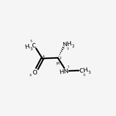 CN[C@@H](N)C(C)=O